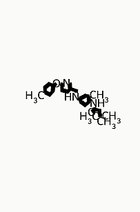 Cc1ccc(Oc2ccc(CNc3ccc(NC(=O)CC(C)(C)C)c(C)c3)cn2)cc1